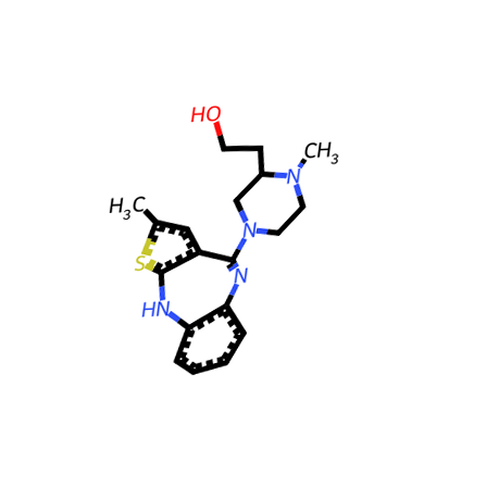 Cc1cc2c(s1)Nc1ccccc1N=C2N1CCN(C)C(CCO)C1